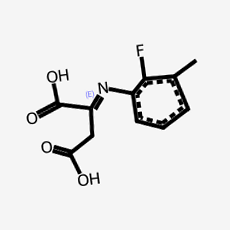 Cc1cccc(/N=C(\CC(=O)O)C(=O)O)c1F